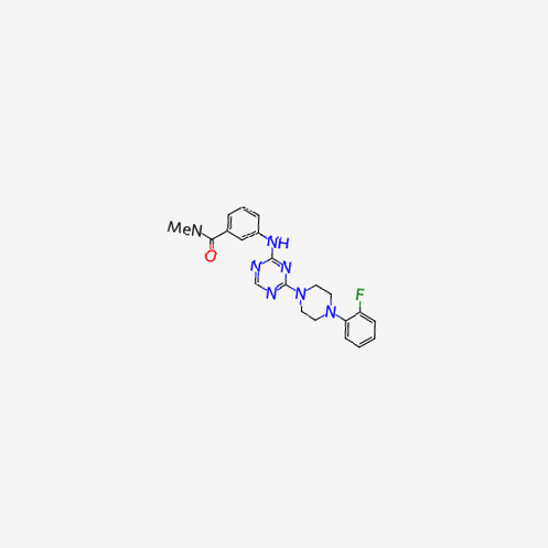 CNC(=O)c1cccc(Nc2ncnc(N3CCN(c4ccccc4F)CC3)n2)c1